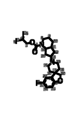 O=C(OCC(F)F)N1CCCC2CC(N3CCC4(CC3)COc3ccc(F)cc34)CC21